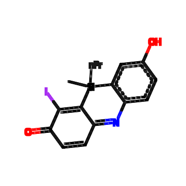 CCC[Si]1(C)C2=C(I)C(=O)C=CC2=Nc2ccc(O)cc21